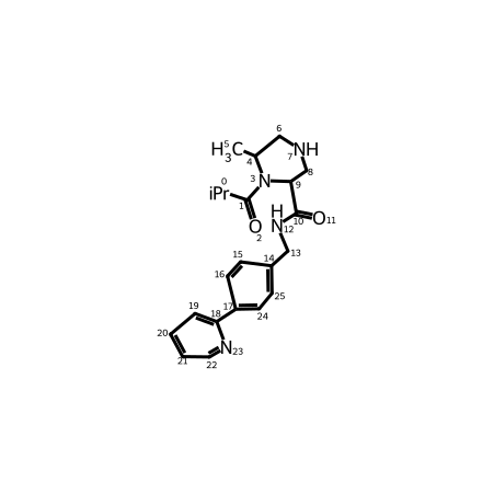 CC(C)C(=O)N1C(C)CNCC1C(=O)NCc1ccc(-c2ccccn2)cc1